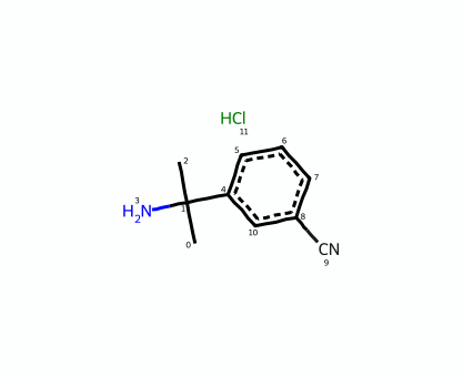 CC(C)(N)c1cccc(C#N)c1.Cl